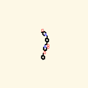 COC1(C)CCN(Cc2ccc(C(=O)Cn3ccc(OCc4ccccc4)cc3=O)cc2)CC1